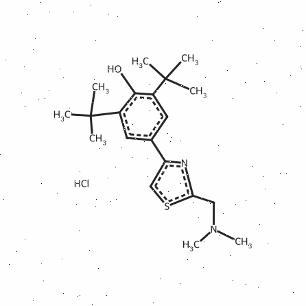 CN(C)Cc1nc(-c2cc(C(C)(C)C)c(O)c(C(C)(C)C)c2)cs1.Cl